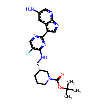 CC(C)(C)OC(=O)N1CCC[C@H](CNc2nc(-c3c[nH]c4ncc(N)cc34)ncc2F)C1